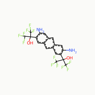 Nc1cc2cc3cc(N)c(C(O)(C(F)(F)F)C(F)(F)F)cc3cc2cc1C(O)(C(F)(F)F)C(F)(F)F